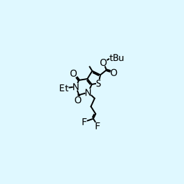 CCn1c(=O)c2c(C)c(C(=O)OC(C)(C)C)sc2n(CCC=C(F)F)c1=O